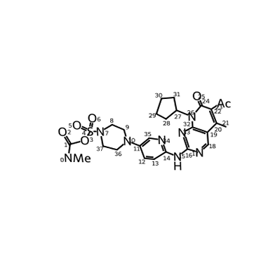 CNC(=O)OS(=O)(=O)N1CCN(c2ccc(Nc3ncc4c(C)c(C(C)=O)c(=O)n(C5CCCC5)c4n3)nc2)CC1